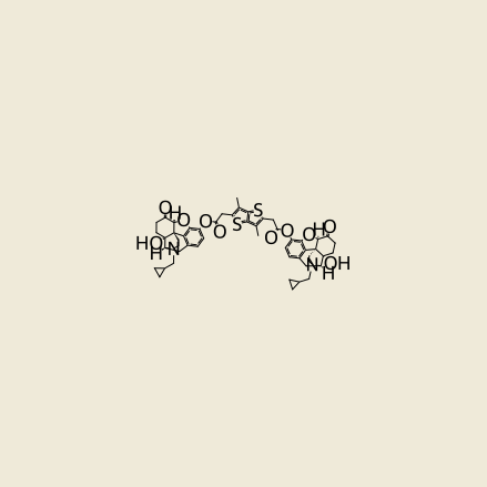 Cc1c(CC(=O)Oc2ccc3c4c2O[C@H]2C(=O)CC[C@@]5(O)[C@@H](C3)N(CC3CC3)CC[C@]425)sc2c(C)c(CC(=O)Oc3ccc4c5c3O[C@H]3C(=O)CC[C@@]6(O)[C@@H](C4)N(CC4CC4)CC[C@]536)sc12